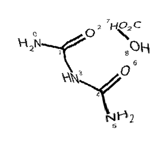 NC(=O)NC(N)=O.O=C(O)O